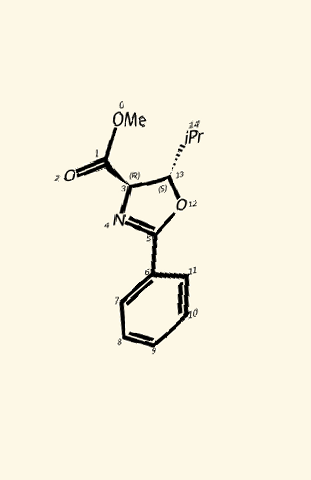 COC(=O)[C@@H]1N=C(c2ccccc2)O[C@H]1C(C)C